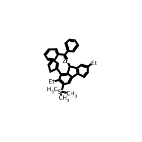 CCc1ccc2c(c1)[CH]([Zr]=[C](c1ccccc1)c1ccccc1)c1c-2cc([Si](C)(C)C)c(CC)c1C1=CC=CC1